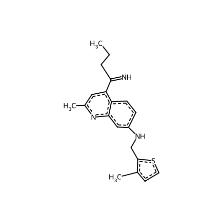 CCCC(=N)c1cc(C)nc2cc(NCc3sccc3C)ccc12